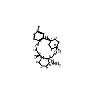 Cc1ccc2c(c1)[C@H]1CC[C@H](CC1)OC[C@H]1[C@@H](N)CCCN1C(=O)CO2